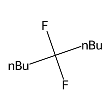 [CH2]CCCC(F)(F)CCCC